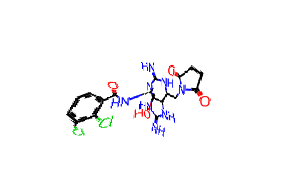 N=C1NC2C(CN3C(=O)CCC3=O)NC(=N)N3C[C@H](NC(=O)c4cccc(Cl)c4Cl)C(O)C23N1